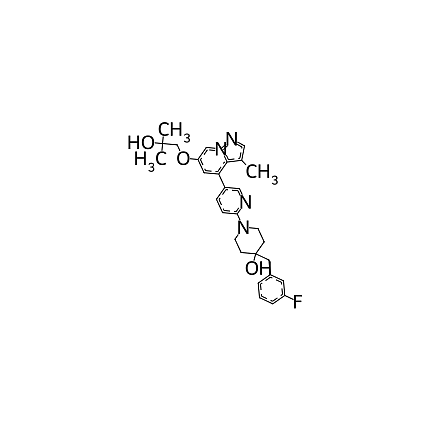 Cc1cnn2cc(OCC(C)(C)O)cc(-c3ccc(N4CCC(O)(Cc5cccc(F)c5)CC4)nc3)c12